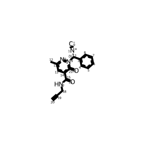 [C-]#[N+][C@H](c1ccccc1)n1nc(C)cc(C(=O)NCC#C)c1=O